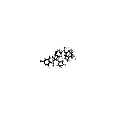 [2H]C1C([2H])([2H])C(Nc2ncc3nc(Nc4c(F)cc(F)cc4F)n(C4CCOC4)c3n2)C([2H])([2H])C([2H])C1([2H])O